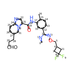 C=N/C(=N\OCC1CC(F)(F)C1)c1ccc(C)c(NC(=O)c2cnc3ccc(CCC=O)cn23)c1